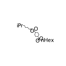 CCCCCCOC(=O)C1CCC(C(=O)OCCCCCC(C)C)CC1